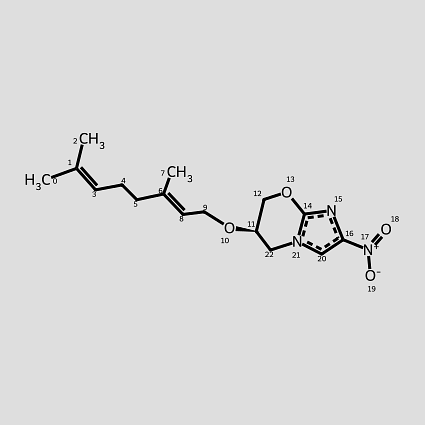 CC(C)=CCC/C(C)=C/CO[C@H]1COc2nc([N+](=O)[O-])cn2C1